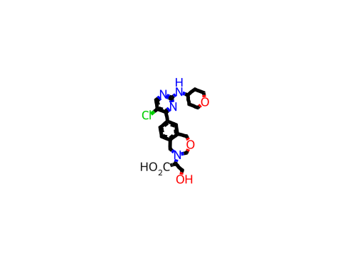 O=C(O)C(CO)N1COCc2cc(-c3nc(NC4CCOCC4)ncc3Cl)ccc2C1